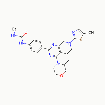 CCNC(=O)Nc1ccc(-c2nc3c(c(N4CCOCC4C)n2)CCN(c2ncc(C#N)s2)C3)cc1